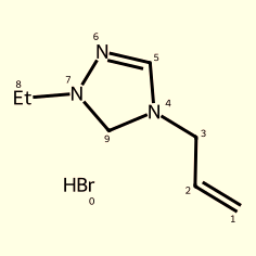 Br.C=CCN1C=NN(CC)C1